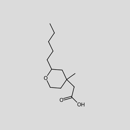 CCCCCC1CC(C)(CC(=O)O)CCO1